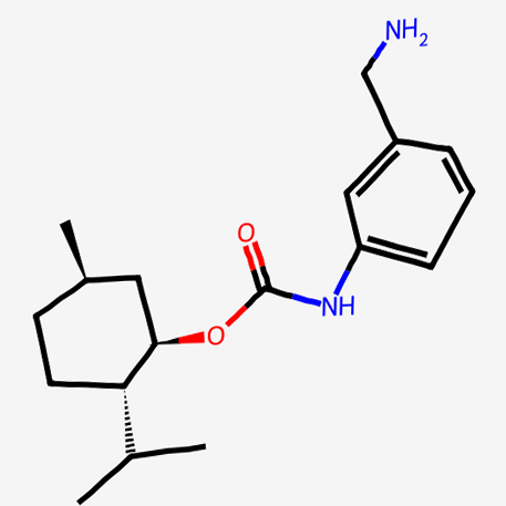 CC(C)[C@@H]1CC[C@@H](C)C[C@H]1OC(=O)Nc1cccc(CN)c1